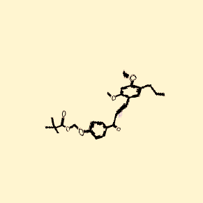 CCCc1cc(/C=C/C(=O)c2ccc(OCOC(=O)C(C)(C)C)cc2)c(OC)cc1OC